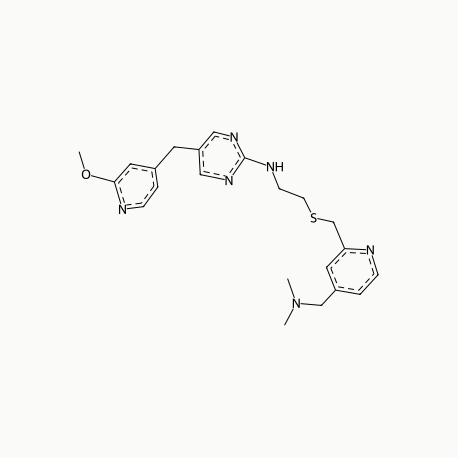 COc1cc(Cc2cnc(NCCSCc3cc(CN(C)C)ccn3)nc2)ccn1